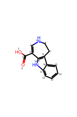 O=C(O)C1=CNCCc2c1[nH]c1ccccc21